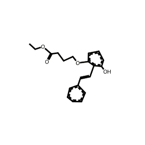 CCOC(=O)CCCOc1cccc(O)c1/C=C/c1ccccc1